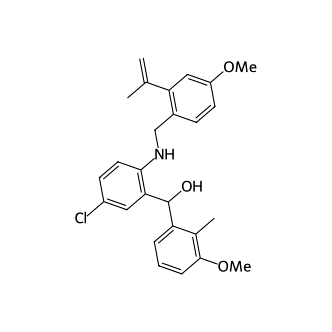 C=C(C)c1cc(OC)ccc1CNc1ccc(Cl)cc1C(O)c1cccc(OC)c1C